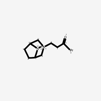 CC(C)C(=O)CCN1CC2CCC(C1)N2C(C)C